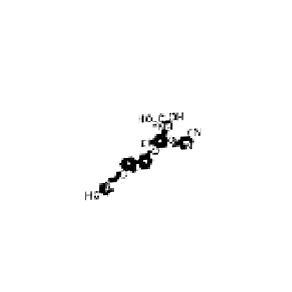 Cc1c(OCCCN2CCC(O)C2)cccc1-c1cccc(COc2cc(OCc3cncc(C#N)c3)c(CNC(CO)C(=O)O)cc2Cl)c1